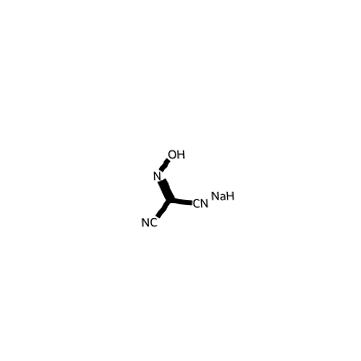 N#CC(C#N)=NO.[NaH]